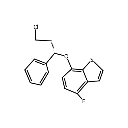 Fc1ccc(O[C@@H](CCCl)c2ccccc2)c2sccc12